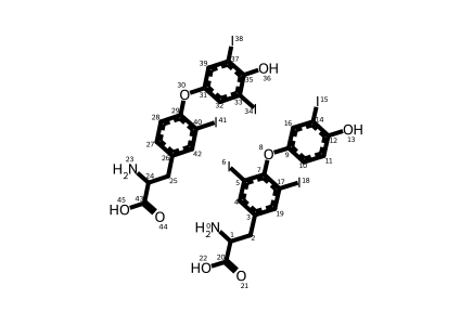 NC(Cc1cc(I)c(Oc2ccc(O)c(I)c2)c(I)c1)C(=O)O.NC(Cc1ccc(Oc2cc(I)c(O)c(I)c2)c(I)c1)C(=O)O